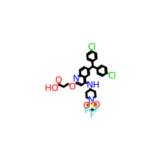 O=C(O)CCOc1cc(NC2CCN(S(=O)(=O)C(F)(F)F)CC2)c2cc(C(c3ccc(Cl)cc3)c3ccc(Cl)cc3)ccc2n1